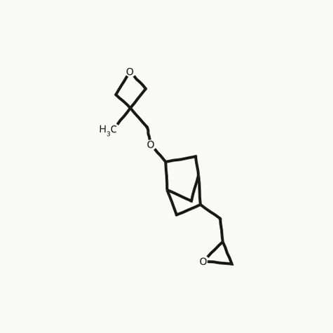 CC1(COC2CC3CC2CC3CC2CO2)COC1